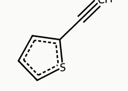 C#Cc1cccs1